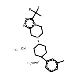 Cc1cccc([C@]2(CN)CC[C@@H](N3CCn4c(nnc4C(F)(F)F)C3)CC2)c1.Cl.Cl